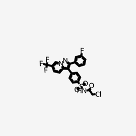 O=C(CCl)NS(=O)(=O)c1ccc(-c2c(-c3cccc(F)c3)nn3cc(C(F)(F)F)ccc23)cc1